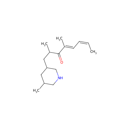 C/C=C\C=C(/C)C(=O)C(C)CC1CNCC(C)C1